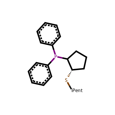 CCCC(C)S[C@H]1CCCC1P(c1ccccc1)c1ccccc1